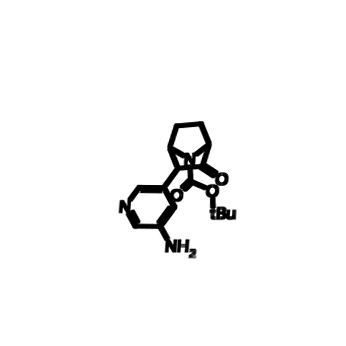 CC(C)(C)OC(=O)N1C2CCC1C(c1cncc(N)c1)C2=O